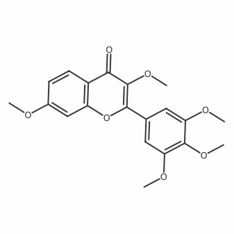 COc1ccc2c(=O)c(OC)c(-c3cc(OC)c(OC)c(OC)c3)oc2c1